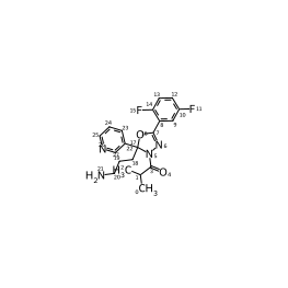 CC(C)C(=O)N1N=C(c2cc(F)ccc2F)OC1(CCCN)c1cccnc1